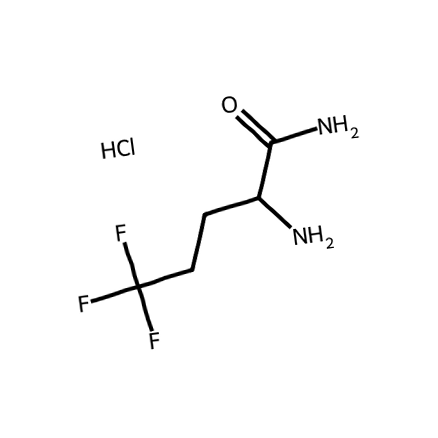 Cl.NC(=O)C(N)CCC(F)(F)F